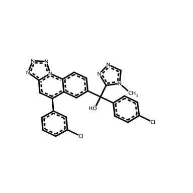 Cn1cnnc1C(O)(c1ccc(Cl)cc1)c1ccc2c(c1)c(-c1cccc(Cl)c1)cc1nnnn12